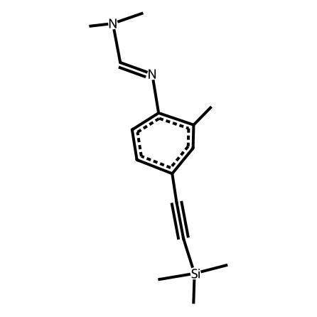 Cc1cc(C#C[Si](C)(C)C)ccc1N=CN(C)C